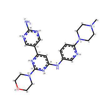 CN1CCN(c2ccc(Nc3cc(-c4cnc(N)nc4)nc(N4CCOCC4)n3)cn2)CC1